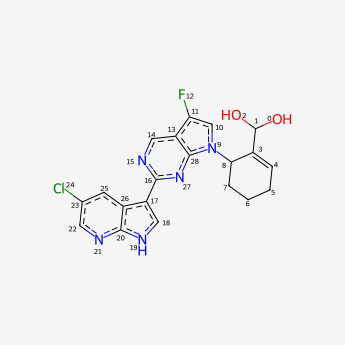 OC(O)C1=CCCCC1n1cc(F)c2cnc(-c3c[nH]c4ncc(Cl)cc34)nc21